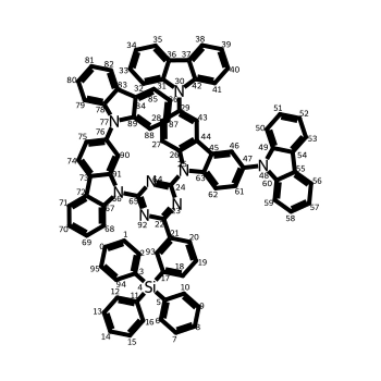 c1ccc([Si](c2ccccc2)(c2ccccc2)c2cccc(-c3nc(-n4c5ccc(-n6c7ccccc7c7ccccc76)cc5c5cc(-n6c7ccccc7c7ccccc76)ccc54)nc(-n4c5ccccc5c5ccc(-n6c7ccccc7c7ccccc76)cc54)n3)c2)cc1